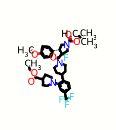 CCOC(=O)C1CCN(c2cc(C(F)(F)F)ccc2C2CCN(C(=O)[C@]3(F)CN(C(=O)OC(C)(C)C)C[C@H]3c3ccc(OC)cc3)CC2)CC1